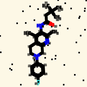 Cc1nc2c(c(C)c1NC(=O)CC(C)(C)C)CCN(c1ccc(F)cc1)C2